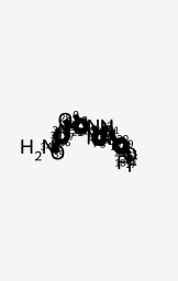 Cc1cc(Nc2nccn3c(-c4ccc(OC(F)F)cc4)cnc23)ccc1C(=O)N1CCC(C(N)=O)CC1